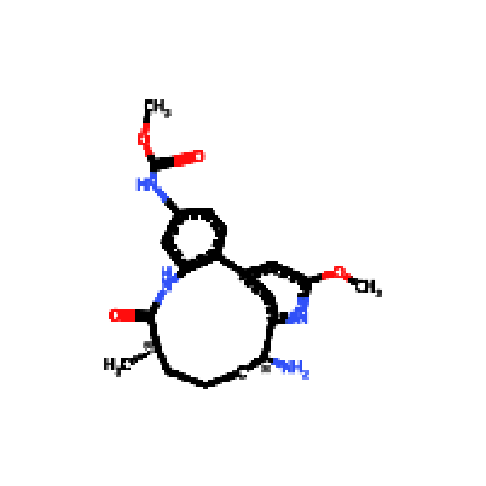 COC(=O)Nc1ccc2c(c1)NC(=O)[C@@H](C)CCC[C@H](N)c1cc-2cc(OC)n1